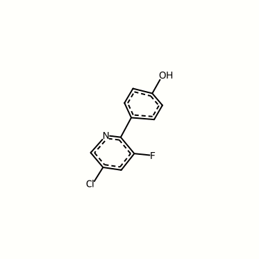 Oc1ccc(-c2ncc(Cl)cc2F)cc1